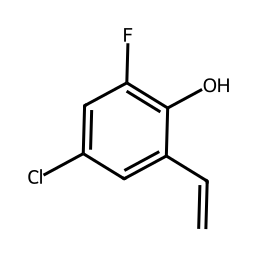 C=Cc1cc(Cl)cc(F)c1O